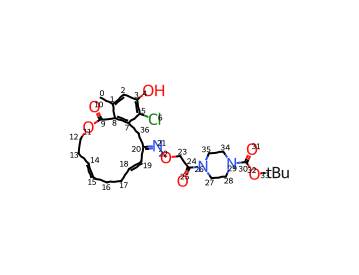 Cc1cc(O)c(Cl)c2c1C(=O)OCC/C=C/CC/C=C/C(=N\OCC(=O)N1CCN(C(=O)OC(C)(C)C)CC1)C2